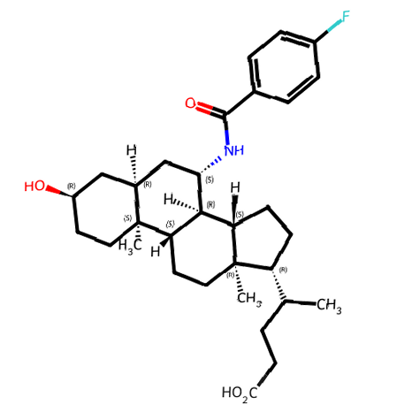 CC(CCC(=O)O)[C@H]1CC[C@H]2[C@@H]3[C@@H](NC(=O)c4ccc(F)cc4)C[C@@H]4C[C@H](O)CC[C@]4(C)[C@H]3CC[C@]12C